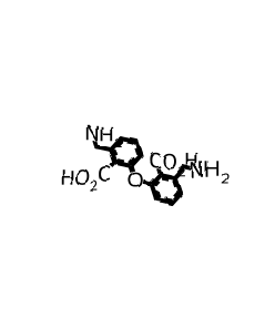 NCc1cccc(Oc2cccc(CN)c2C(=O)O)c1C(=O)O